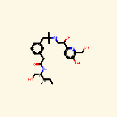 CC[C@H](C)[C@@H](CO)NC(=O)Cc1cccc(CC(C)(C)NCC(O)c2ccc(O)c(CO)n2)c1